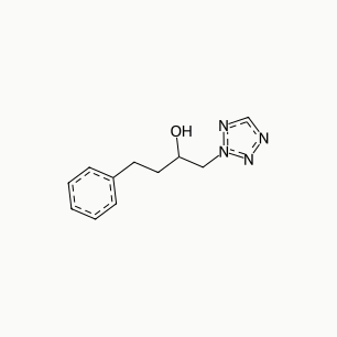 OC(CCc1ccccc1)Cn1ncnn1